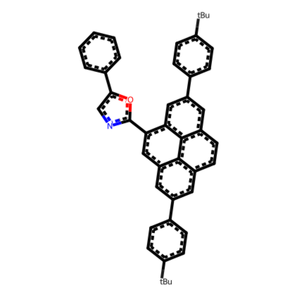 CC(C)(C)c1ccc(-c2cc3ccc4cc(-c5ccc(C(C)(C)C)cc5)cc5c(-c6ncc(-c7ccccc7)o6)cc(c2)c3c45)cc1